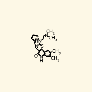 Cc1cc2cc(CN(Cc3cccs3)C(=S)NCCN(C)C)c(=O)[nH]c2cc1C